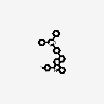 Fc1ccc(-c2nc3ccccc3c3c2ccc2c(-c4ccc(-c5nc(-c6ccccc6)cc(-c6ccccc6)n5)cc4)cccc23)cc1